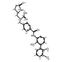 Cc1c(NC(=O)c2ccc(CN(CC3CCC(=O)N3)C(=O)O)cn2)cccc1-c1ccnc(Cl)c1Cl